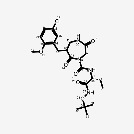 CC[C@@H](NC(=O)N1CC(=O)NCC(Cc2cc(Cl)ccc2OC)C1=O)C(=O)NOC(C)(C)C